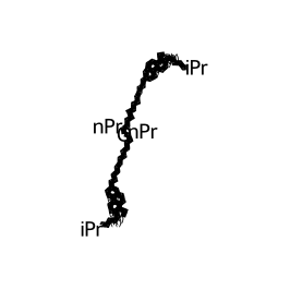 CCCC(CCCCCCCCCCCCC1CC[C@@]2(C)C(=CCC3C2CC[C@@]2(C)C3CC[C@@H]2[C@H](C)CCCC(C)C)C1)OC(CCC)CCCCCCCCCCCCC1CC[C@@]2(C)C(=CCC3C2CC[C@@]2(C)C3CC[C@@H]2[C@H](C)CCCC(C)C)C1